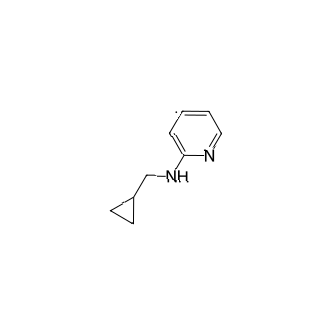 [c]1ccnc(NCC2CC2)c1